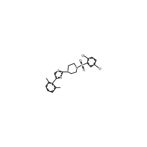 Cc1cccc(C)c1-c1csc(N2CCN(S(=O)(=O)c3cc(Cl)ccc3Cl)CC2)n1